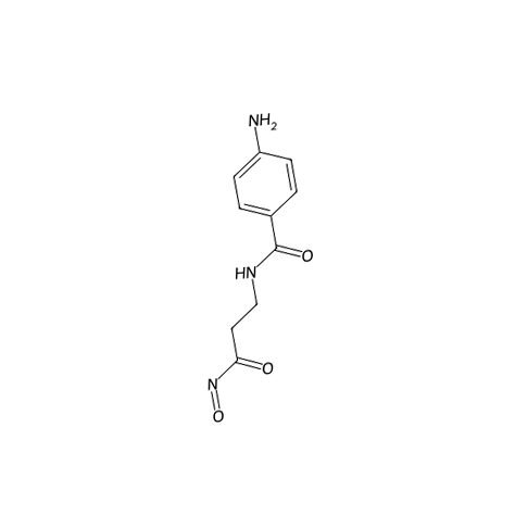 Nc1ccc(C(=O)NCCC(=O)N=O)cc1